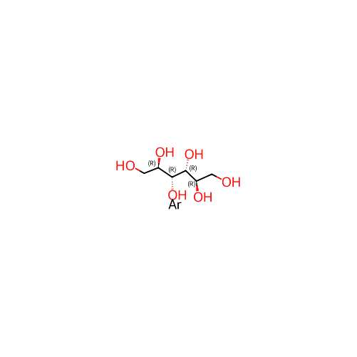 OC[C@@H](O)[C@@H](O)[C@H](O)[C@H](O)CO.[Ar]